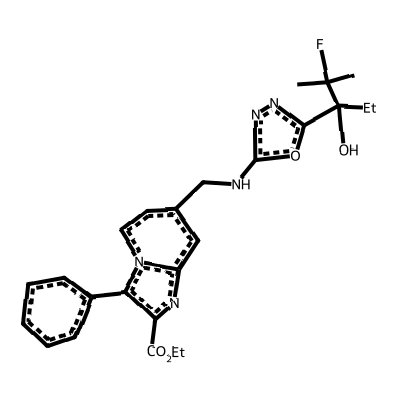 CCOC(=O)c1nc2cc(CNc3nnc(C(O)(CC)C(C)(C)F)o3)ccn2c1-c1ccccc1